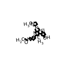 C=CC(=O)N1CC2(CCN(c3nc4c(c(-c5cc(O)ccc5Cl)c3C)CCN(C3CCCN(C)C3)C4)C2)C1